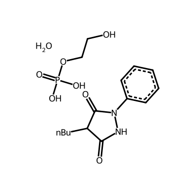 CCCCC1C(=O)NN(c2ccccc2)C1=O.O.O=P(O)(O)OCCO